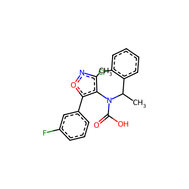 Cc1noc(-c2cccc(F)c2)c1N(C(=O)O)C(C)c1ccccc1Cl